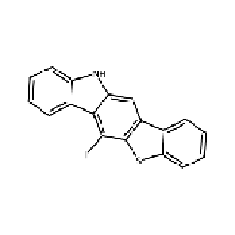 Ic1c2sc3ccccc3c2cc2[nH]c3ccccc3c12